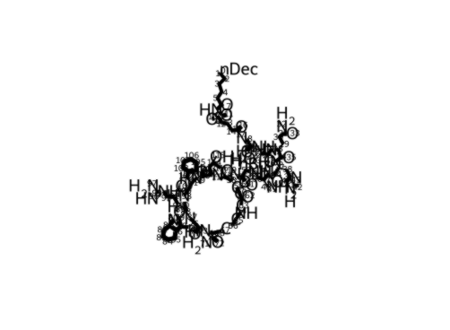 CCCCCCCCCCCCCCCC(=O)NS(=O)(=O)CCCC(=O)NCC(=O)N[C@@H](CO)C(=O)N[C@@H](CCC(N)=O)C(=O)N[C@@H](Cc1c[nH]cn1)C(=O)N[C@@H](CN)C(=O)N[C@@H](CCCC)C(=O)N[C@H]1CCC(=O)CNCCCC[C@@H](C(N)=O)NC(=O)[C@H](Cc2c[nH]c3ccccc23)NC(=O)[C@H](CCCNC(=N)N)NC(=O)[C@@H](Cc2ccccc2)NC(=O)[C@@H]2C[C@@H](O)CN2C1=O